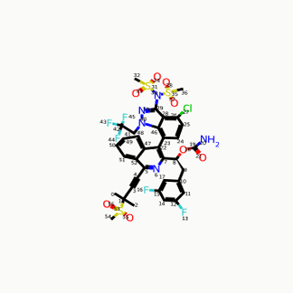 CC(C)(C#Cc1nc([C@H](Cc2cc(F)cc(F)c2)OC(N)=O)c(-c2ccc(Cl)c3c(N(S(C)(=O)=O)S(C)(=O)=O)nn(CC(F)(F)F)c23)c2ccccc12)S(C)(=O)=O